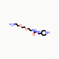 NCCOCCOCCNC(=O)NCC1CCNCC1